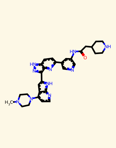 CN1CCN(c2ccnc3[nH]c(-c4n[nH]c5ccc(-c6cncc(NC(=O)CC7CCNCC7)c6)nc45)cc23)CC1